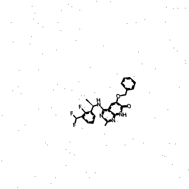 Cc1nc(N[C@H](C)c2cccc(C(F)F)c2F)c2cc(OCc3ccccc3)c(=O)[nH]c2n1